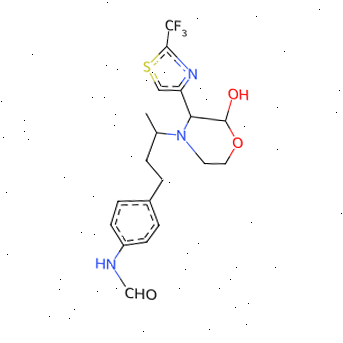 CC(CCc1ccc(NC=O)cc1)N1CCOC(O)C1c1csc(C(F)(F)F)n1